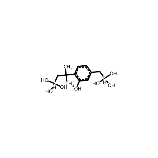 CC(C)(C[PH](O)(O)O)c1ccc(C[PH](O)(O)O)cc1O